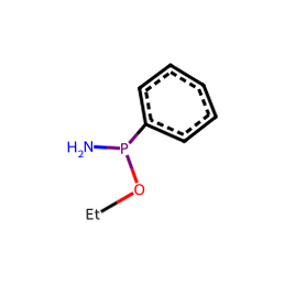 CCOP(N)c1ccccc1